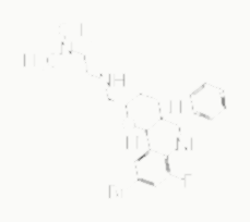 CN(C)CCNC[C@H]1CC[C@@H]2[C@H](O1)c1cc(Br)cc(F)c1N[C@H]2c1ccccc1